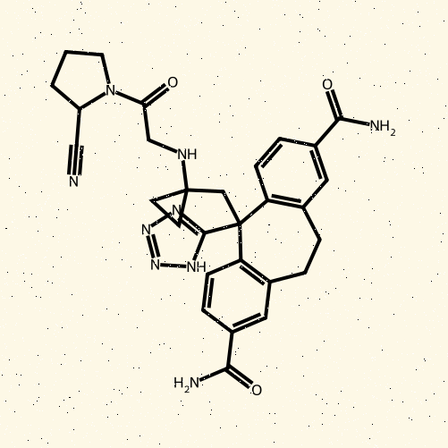 N#CC1CCCN1C(=O)CNC1(CC2(c3nnn[nH]3)c3ccc(C(N)=O)cc3CCc3cc(C(N)=O)ccc32)CC1